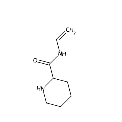 C=CNC(=O)C1CCCCN1